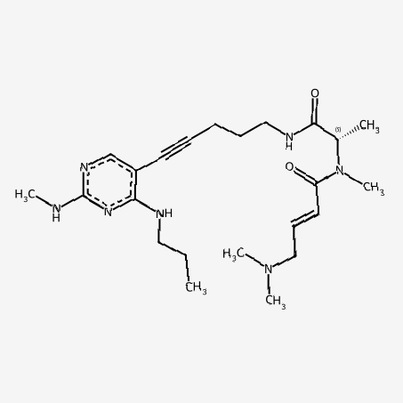 CCCNc1nc(NC)ncc1C#CCCCNC(=O)[C@H](C)N(C)C(=O)C=CCN(C)C